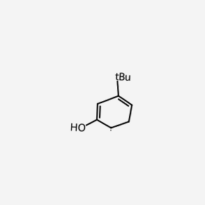 CC(C)(C)C1=CC[CH]C(O)=C1